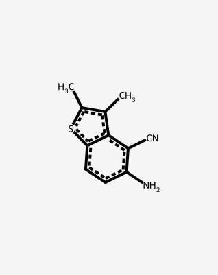 Cc1sc2ccc(N)c(C#N)c2c1C